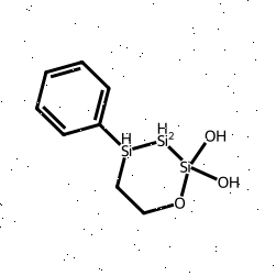 O[Si]1(O)OCC[SiH](c2ccccc2)[SiH2]1